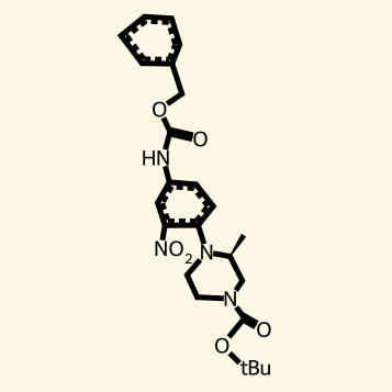 C[C@H]1CN(C(=O)OC(C)(C)C)CCN1c1ccc(NC(=O)OCc2ccccc2)cc1[N+](=O)[O-]